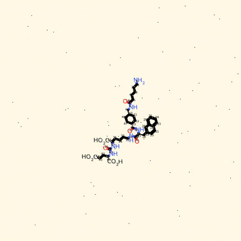 NCCCCCC(=O)NC[C@H]1CC[C@H](C(=O)N[C@@H](Cc2ccc3ccccc3c2)C(=O)NCCCC[C@H](NC(=O)N[C@@H](CCC(=O)O)C(=O)O)C(=O)O)CC1